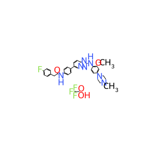 COc1cc(N2CCN(C)CC2)ccc1Nc1nc2ccc(-c3ccc(NC(=O)Cc4ccc(F)cc4)cc3)cn2n1.O=C(O)C(F)(F)F